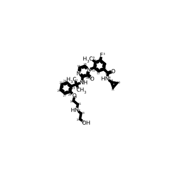 Cc1c(F)cc(C(=O)NC2CC2)cc1-n1ccnc(NC(C)(C)c2ccccc2OCCNCCO)c1=O